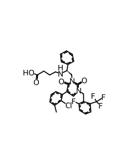 Cc1cccc(-c2cn(Cc3c(F)cccc3C(F)(F)F)c(=O)n(C[C@@H](NCCCC(=O)O)c3ccccc3)c2=O)c1Cl